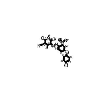 CC1=C(C#N)C(=O)N(C)C(=O)/C1=N\Nc1ccc(Oc2ccc(Cl)cc2)cc1[N+](=O)[O-]